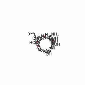 CCC(C)CC/C=C\C=C\C(=O)N[C@H](C(=O)N[C@@H]1C(=O)N[C@H](C(C)C)C(=O)N[C@@H](CCCCN)C(=O)N[C@@H](C(O)C(=O)O)C(=O)N[C@@H](CC(=O)O)C(=O)NCC(=O)N[C@H](C(C)C(=O)O)C(=O)N[C@@H](C(C)C)C(=O)N2C[C@H](C)C[C@H]2C(=O)NC1C)C(C)C(=O)O